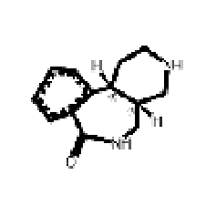 O=C1NC[C@H]2CNCC[C@H]2c2ccccc21